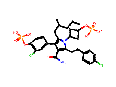 CCCC(C)Cc1c(-c2ccc(OP(=O)(O)O)c(Cl)c2)c(C(N)=O)c(CCc2ccc(Cl)cc2)n1C1CC(OP(=O)(O)O)C1